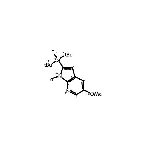 COc1cnc2c(c1)cc([Si](F)(C(C)(C)C)C(C)(C)C)n2C